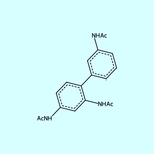 CC(=O)Nc1cc[c]c(-c2ccc(NC(C)=O)cc2NC(C)=O)c1